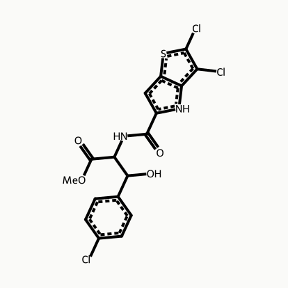 COC(=O)C(NC(=O)c1cc2sc(Cl)c(Cl)c2[nH]1)C(O)c1ccc(Cl)cc1